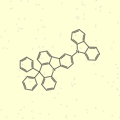 c1ccc(C2(c3ccccc3)c3ccccc3-n3c4ccc(-n5c6ccccc6c6ccccc65)cc4c4cccc2c43)cc1